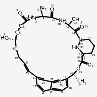 CC(C)[C@@H]1NC(=O)CC[C@@H](O)CC/C=C/c2ccc3ccc(nc3c2)[C@@H](C)OC(=O)[C@@H]2CCCN(N2)C(=O)[C@H](C)NC1=O